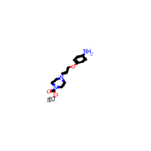 CC(C)(C)OC(=O)N1CCN(CCCOc2ccc(N)cc2)CC1